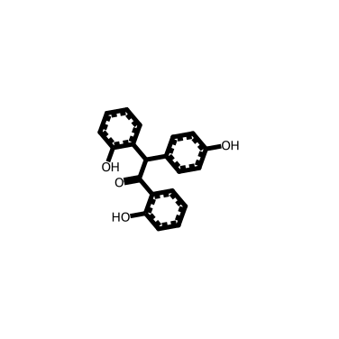 O=C([C](c1ccc(O)cc1)c1ccccc1O)c1ccccc1O